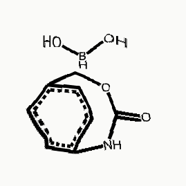 O=C1Nc2ccc(cc2)CO1.OBO